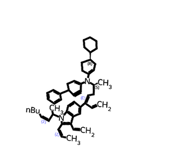 C=C/C(=C\C[C@H](C)N(C1=CCC(c2ccccc2)C#C1)C1=CC[C@H](C2CCCCC2)CC1)c1ccc2c(c1)c(C=C)c(/C=C\C)n2C(C)/C=C\CCCC